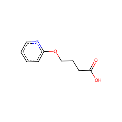 O=C(O)CCCOc1ccccn1